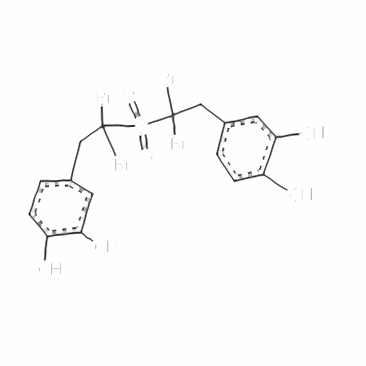 Cc1ccc(CC(Br)(Br)S(=O)(=O)C(Br)(Br)Cc2ccc(C)c(C)c2)cc1C